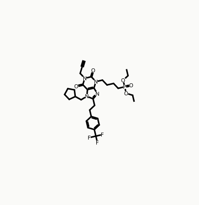 C#CCn1c(=O)c2c(nc(CCc3ccc(C(F)(F)F)cc3)n2CC2CCCC2)n(CCCCP(=O)(OCC)OCC)c1=O